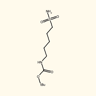 CC(C)(C)OC(=O)NCCCCCS(N)(=O)=O